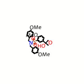 COc1ccc(CN(Cc2ccc(OC)cc2)S(=O)(=O)c2cc(C3(O)COC3)ccc2OC)cc1